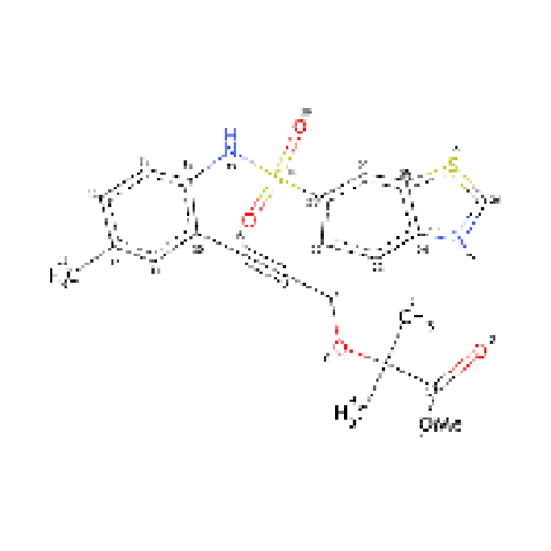 COC(=O)C(C)(C)OCC#Cc1cc(C(F)(F)F)ccc1NS(=O)(=O)c1ccc2ncsc2c1